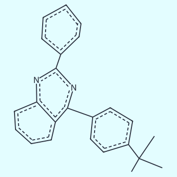 CC(C)(C)c1ccc(-c2nc(-c3ccccc3)nc3ccccc23)cc1